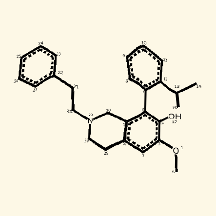 COc1cc2c(c(-c3ccccc3C(C)C)c1O)CN(CCc1ccccc1)CC2